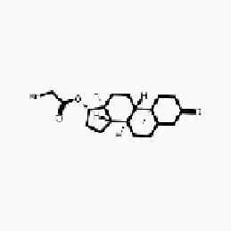 C[C@]12CC[C@H]3[C@@H](CCC4CC(=O)CC[C@@]43C)[C@@H]1CC[C@@H]2OC(=O)CBr